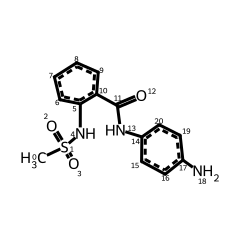 CS(=O)(=O)Nc1ccccc1C(=O)Nc1ccc(N)cc1